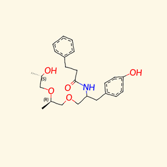 C[C@H](O)CO[C@H](C)COCC(Cc1ccc(O)cc1)NC(=O)CCc1ccccc1